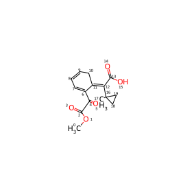 COC(=O)C(=O)C1=CC=CCC1=C(C(=O)O)C1(C)CC1